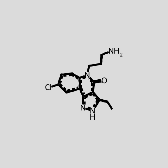 CCc1[nH]nc2c1c(=O)n(CCCN)c1ccc(Cl)cc21